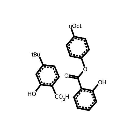 CC(C)(C)c1ccc(C(=O)O)c(O)c1.CCCCCCCCc1ccc(OC(=O)c2ccccc2O)cc1